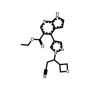 CCOC(=O)c1cnc2[nH]ccc2c1-c1cnn(C(CC#N)C2COC2)c1